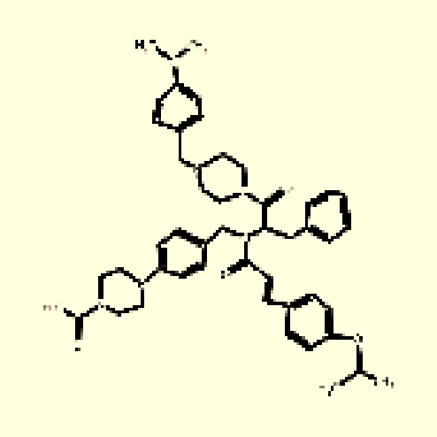 CC(=O)N1CCN(c2ccc(CN(C(=O)C=Cc3ccc(OC(C)C)cc3)C(Cc3ccccc3)C(=O)N3CCN(Cc4ccc(N(C)C)cc4)CC3)cc2)CC1